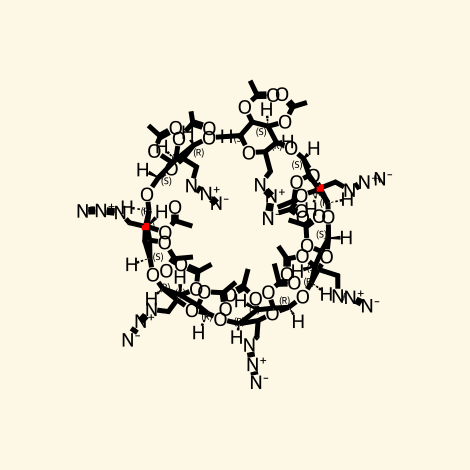 CC(=O)OC1[C@@H]2OC(CN=[N+]=[N-])[C@@H](O[C@@H]3OC(CN=[N+]=[N-])[C@@H](O[C@@H]4OC(CN=[N+]=[N-])[C@@H](O[C@@H]5OC(CN=[N+]=[N-])[C@@H](O[C@H]6OC(CN=[N+]=[N-])[C@@H](O[C@H]7OC(CN=[N+]=[N-])[C@@H](O[C@H]8CC(CN=[N+]=[N-])[C@@H](O2)[C@H](OC(C)=O)C8OC(C)=O)[C@H](OC(C)=O)C7OC(C)=O)[C@H](OC(C)=O)C6OC(C)=O)[C@H](OC(C)=O)C5OC(C)=O)[C@@H](OC(C)=O)C4OC(C)=O)[C@H](OC(C)=O)C3OC(C)=O)[C@@H]1OC(C)=O